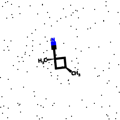 C[C@H]1C[C@@](C)(C#N)C1